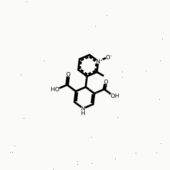 Cc1c(C2C(C(=O)O)=CNC=C2C(=O)O)ccc[n+]1[O-]